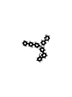 C1=CCN(c2ccc(N(c3ccc(-c4ccc(-c5ccccc5)cc4)cc3)c3ccc(-c4cccc5c4oc4ccccc45)cc3)cc2)C=C1